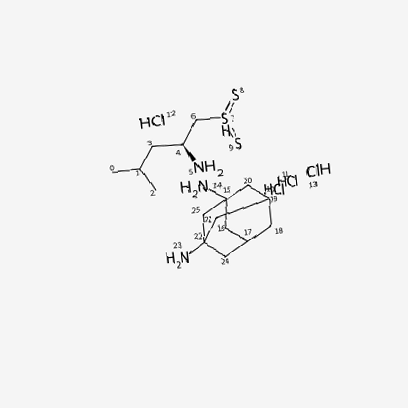 CC(C)C[C@H](N)C[SH](=S)=S.Cl.Cl.Cl.Cl.NC12CC3CC(C1)CC(N)(C3)C2